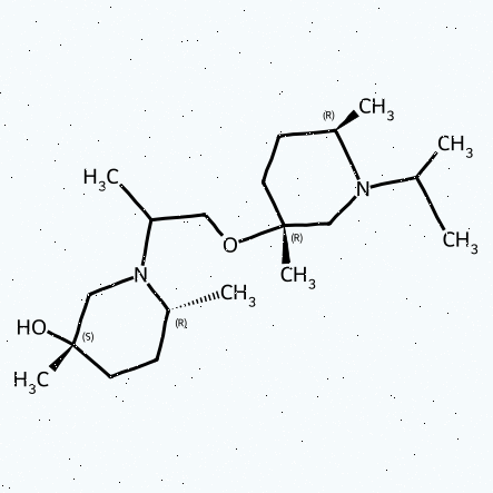 CC(C)N1C[C@](C)(OCC(C)N2C[C@@](C)(O)CC[C@H]2C)CC[C@H]1C